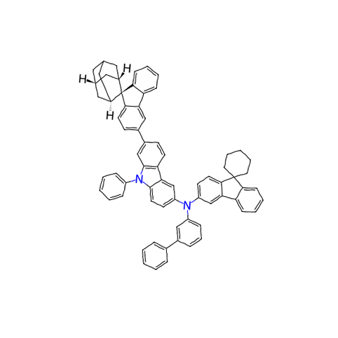 c1ccc(-c2cccc(N(c3ccc4c(c3)-c3ccccc3C43CCCCC3)c3ccc4c(c3)c3ccc(-c5ccc6c(c5)-c5ccccc5[C@]65[C@@H]6CC7C[C@@H](C6)C[C@@H]5C7)cc3n4-c3ccccc3)c2)cc1